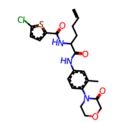 C=CCCC(NC(=O)c1ccc(Cl)s1)C(=O)Nc1ccc(N2CCOCC2=O)c(C)c1